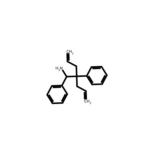 C=CCC(CC=C)(c1ccccc1)C(N)c1ccccc1